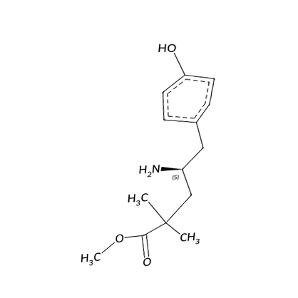 COC(=O)C(C)(C)C[C@@H](N)Cc1ccc(O)cc1